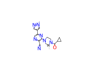 C[C@@H]1CN(c2nc(-c3cnn(C)c3)cnc2C#N)CCN1C(=O)C1CC1